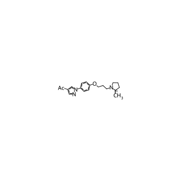 CC(=O)c1cnn(-c2ccc(OCCCN3CCC[C@H]3C)cc2)c1